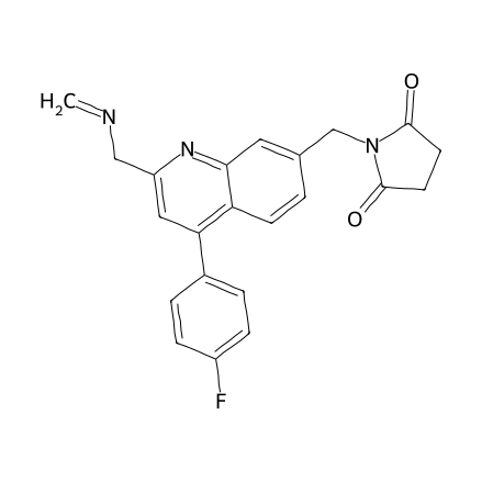 C=NCc1cc(-c2ccc(F)cc2)c2ccc(CN3C(=O)CCC3=O)cc2n1